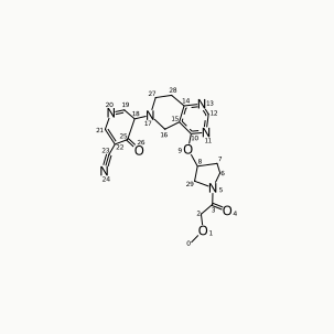 COCC(=O)N1CCC(Oc2ncnc3c2CN(C2C=NC=C(C#N)C2=O)CC3)C1